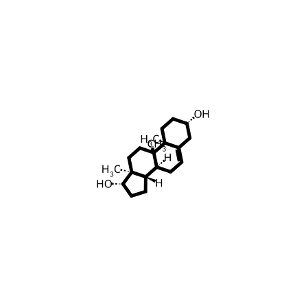 CC12CC[C@]3(C)[C@@H](O)CC[C@H]3[C@@H]1CC=C1C[C@@H](O)CC[C@@]12C